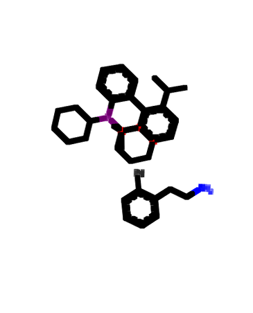 CC(C)c1cccc(C(C)C)c1-c1ccccc1P(C1CCCCC1)C1CCCCC1.NCCc1cccc[c]1[Pd]